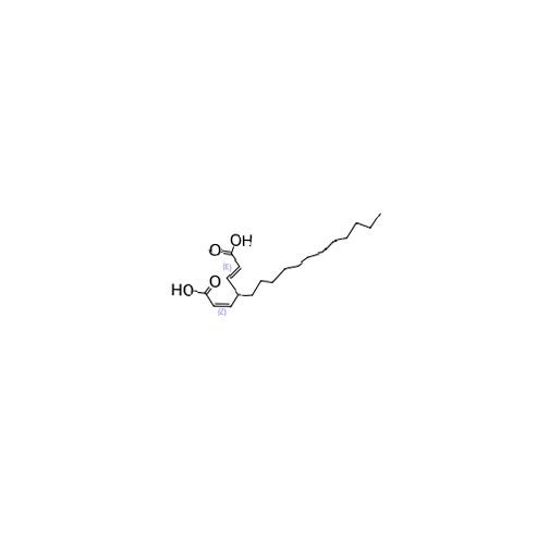 CCCCCCCCCCCCC(/C=C\C(=O)O)/C=C/C(=O)O